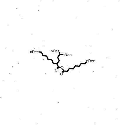 CCCCCCCCCCCCCCCCCC(=O)OC(=O)C(CCCCCCCCCCCCCCCC)CCC(CCCCCCCC)CCCCCCCCC